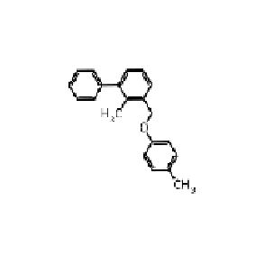 Cc1ccc(OCc2cccc(-c3ccccc3)c2C)cc1